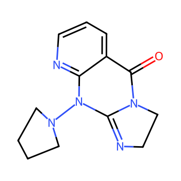 O=C1c2cccnc2N(N2CCCC2)C2=NCCN12